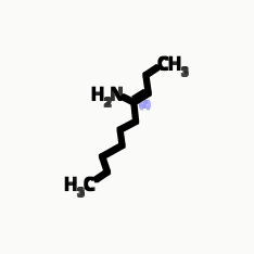 CC/C=C(\N)CCCCCC